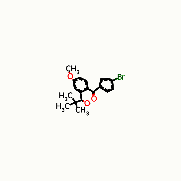 COc1ccc(C(=O)c2ccc(Br)cc2)c(C([O])C(C)(C)C)c1